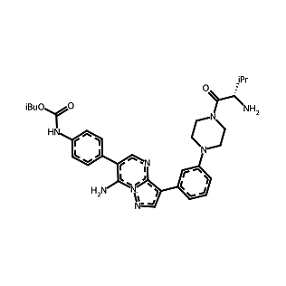 CC(C)COC(=O)Nc1ccc(-c2cnc3c(-c4cccc(N5CCN(C(=O)[C@@H](N)C(C)C)CC5)c4)cnn3c2N)cc1